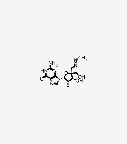 C/N=N/C[C@]1(CO)O[C@@H](n2cnc3c(=O)[nH]c(N)nc32)[C@H](F)[C@@H]1O